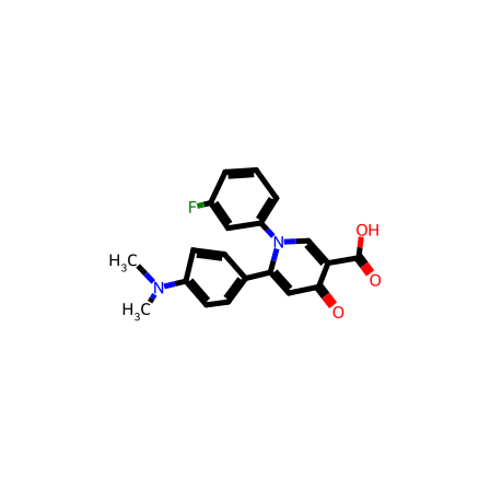 CN(C)c1ccc(-c2cc(=O)c(C(=O)O)cn2-c2cccc(F)c2)cc1